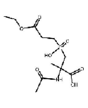 CCOC(=O)CCP(=O)(O)CC(C)(NC(C)=O)C(=O)O